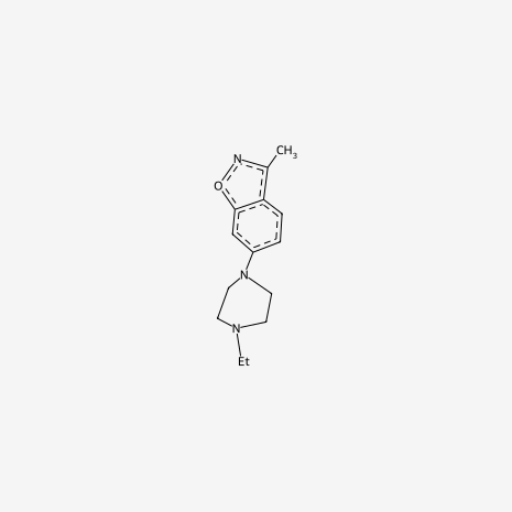 CCN1CCN(c2ccc3c(C)noc3c2)CC1